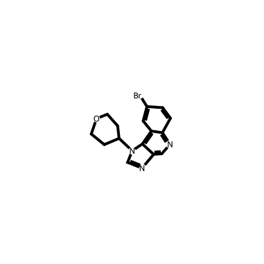 Brc1ccc2ncc3ncn(C4CCOCC4)c3c2c1